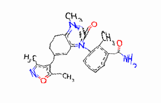 Cc1noc(C)c1C1=Cc2c(n(C)c(=O)n2-c2cccc(C(N)=O)c2C)CC1